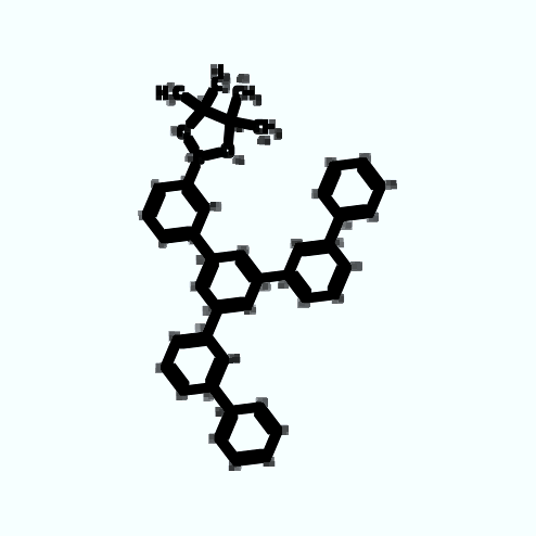 CC1(C)OB(c2cccc(-c3cc(-c4cccc(-c5ccccc5)c4)cc(-c4cccc(-c5ccccc5)c4)c3)c2)OC1(C)C